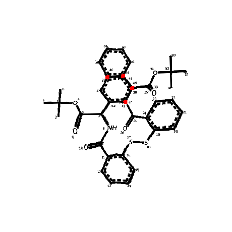 CC(C)(C)OC(=O)C(NC(=O)c1ccccc1SSc1ccccc1C(=O)NC(C(=O)OC(C)(C)C)c1ccccc1)c1ccccc1